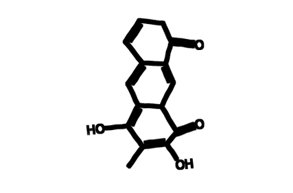 CC1=C(O)C(=O)C2C=C3C(=O)CC=CC3=CC2=C1O